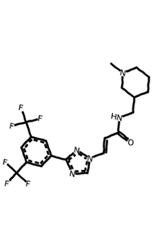 CN1CCCC(CNC(=O)/C=C/n2cnc(-c3cc(C(F)(F)F)cc(C(F)(F)F)c3)n2)C1